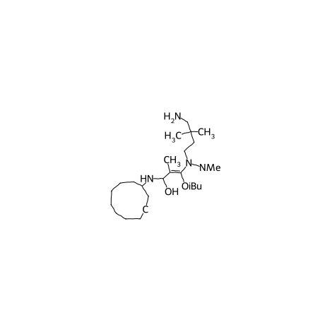 CNN(CCC(C)(C)CN)/C(OCC(C)C)=C(\C)C(O)NC1CCCCCCCCC1